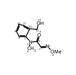 CON=CC(=O)N(C)c1ccccc1CO